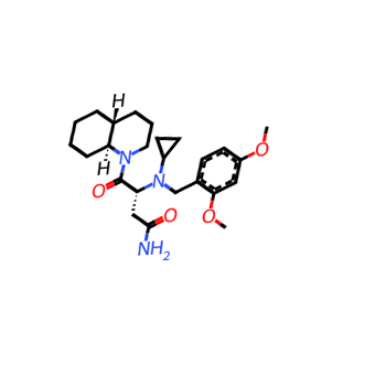 COc1ccc(CN(C2CC2)[C@H](CC(N)=O)C(=O)N2CCC[C@H]3CCCC[C@@H]32)c(OC)c1